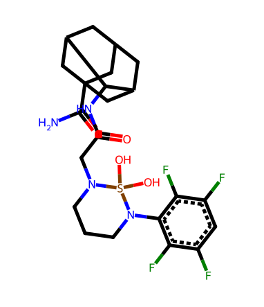 NC(=O)C12CC3CC(C1)C(NC(=O)CN1CCCN(c4c(F)c(F)cc(F)c4F)S1(O)O)C(C3)C2